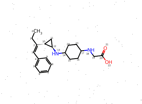 CCC(=Cc1ccccc1)[C@@H]1C[C@H]1NC1CCC(NCC(=O)O)CC1